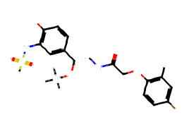 CC[Si](CC)(CC)O[C@@H](CNC(=O)COc1ccc(Br)cc1C)c1ccc(O)c(NS(C)(=O)=O)c1